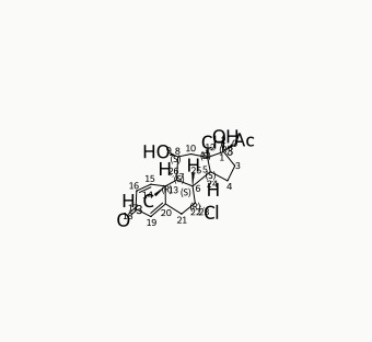 CC(=O)[C@@]1(O)CC[C@H]2[C@H]3[C@H]([C@@H](O)C[C@@]21C)[C@@]1(C)C=CC(=O)C=C1C[C@H]3Cl